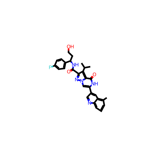 Cc1cccc2ncc(-c3cn4nc(C(=O)NC(CCO)c5ccc(F)cc5)c(C(C)C)c4c(=O)[nH]3)cc12